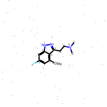 COc1cc(F)cc2[nH]nc(CCN(C)C)c12